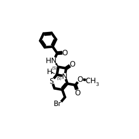 COC(=O)C1=C(CBr)CS[C@H]2[C@@H](NC(=O)c3ccccc3)C(=O)N12